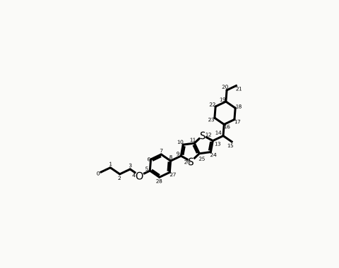 CCCCOc1ccc(-c2cc3sc(C(C)C4CCC(CC)CC4)cc3s2)cc1